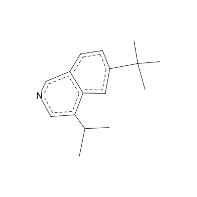 CC(C)c1cncc2ccc(C(C)(C)C)cc12